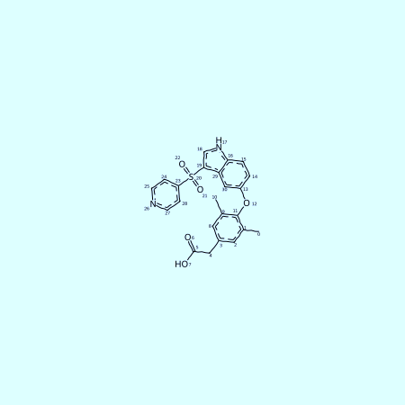 Cc1cc(CC(=O)O)cc(C)c1Oc1ccc2[nH]cc(S(=O)(=O)c3ccncc3)c2c1